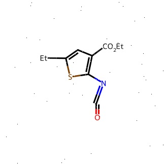 CCOC(=O)c1cc(CC)sc1N=C=O